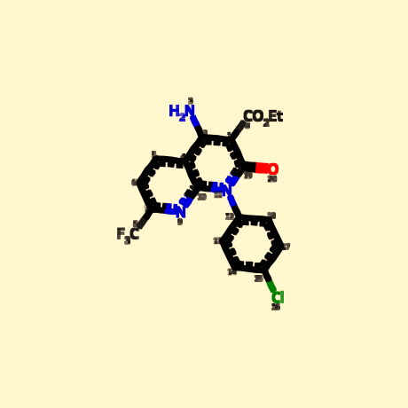 CCOC(=O)c1c(N)c2ccc(C(F)(F)F)nc2n(-c2ccc(Cl)cc2)c1=O